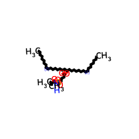 CCCCCCCC/C=C\CCCCCCCC(CCCCCCC/C=C\CCCCCCCC)OC(=O)CCCS(=O)(=O)NC(=O)C(C)C